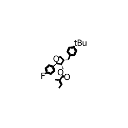 C/C=C(\C)C(=O)OC[C@H]1[C@@H](Cc2ccc(C(C)(C)C)cc2)CO[C@@H]1c1ccc(F)cc1